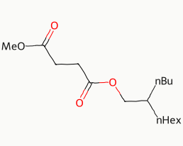 CCCCCCC(CCCC)COC(=O)CCC(=O)OC